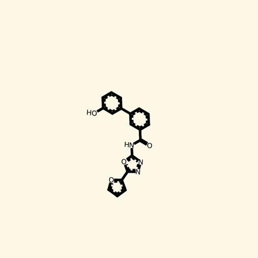 O=C(Nc1nnc(-c2ccco2)o1)c1cccc(-c2cccc(O)c2)c1